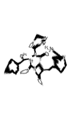 CCC[C@@H](NC(=O)N1C(=O)[C@H](Cc2ccnc(N)c2)[C@H]1C(=O)N(C)c1nnco1)c1ccccc1